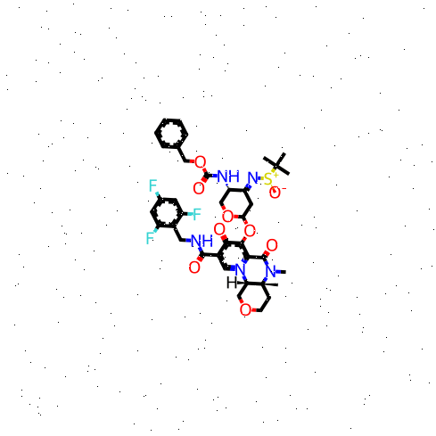 CN1C(=O)c2c(OC3C/C(=N\[S@+]([O-])C(C)(C)C)[C@@H](NC(=O)OCc4ccccc4)CO3)c(=O)c(C(=O)NCc3c(F)cc(F)cc3F)cn2[C@H]2COCC[C@]21C